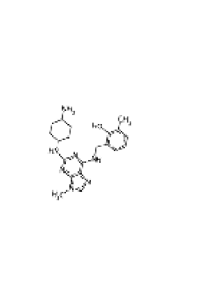 Cc1cccc(CNc2nc(NC3CCC(N)CC3)nc3c2ncn3C)c1O